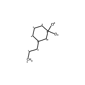 CC[CH]C1CCCC(Cl)(Cl)C1